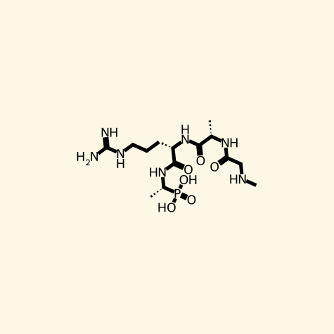 CNCC(=O)N[C@@H](C)C(=O)N[C@@H](CCCNC(=N)N)C(=O)N[C@@H](C)P(=O)(O)O